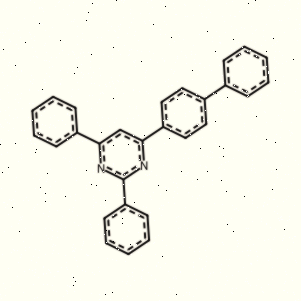 c1ccc(-c2ccc(-c3cc(-c4ccccc4)nc(-c4ccccc4)n3)cc2)cc1